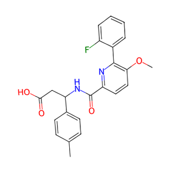 COc1ccc(C(=O)NC(CC(=O)O)c2ccc(C)cc2)nc1-c1ccccc1F